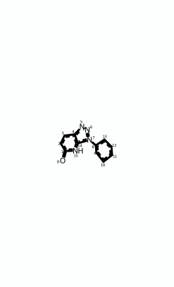 O=c1ccc2nnn(-c3ccccc3)c2[nH]1